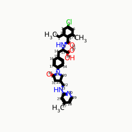 CCc1cc(Cl)cc(C)c1C(=O)NC(Cc1ccc(N2CC(CNc3cc(C)ccn3)CC2=O)cc1)C(=O)O